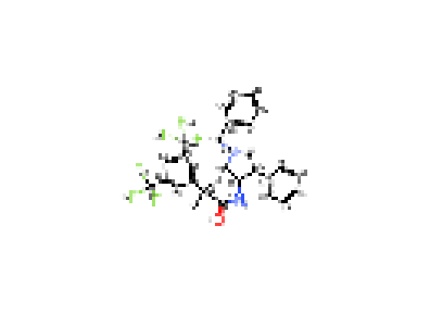 CN(C(=O)C(C)(C)c1cc(C(F)(F)F)cc(C(F)(F)F)c1)C1CN(Cc2ccccc2)CC1c1ccccc1